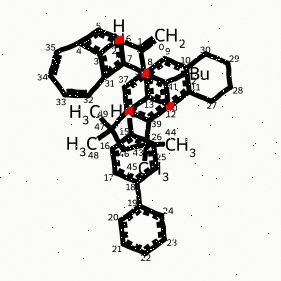 C=C(Nc1c2ccc(-c3cc4c(cc3Nc3ccc(-c5ccccc5)cc3)CCCC4)c1C=CC=C2)c1cc2c(cc1C(C)CC)C(C)(C)CC2(C)C